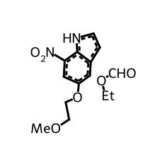 CCOC=O.COCCOc1cc([N+](=O)[O-])c2[nH]ccc2c1